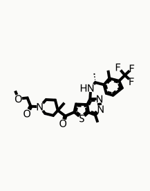 COCC(=O)N1CCC(C)(C(=O)c2cc3c(N[C@H](C)c4cccc(C(F)(F)F)c4C)nnc(C)c3s2)CC1